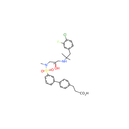 CN(C[C@H](O)CNC(C)(C)Cc1ccc(Cl)c(F)c1)S(=O)(=O)c1cccc(-c2ccc(CCC(=O)O)cc2)c1